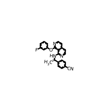 C[C@H](Nc1nccc2ccnc(Oc3cccc(F)c3)c12)c1ccc(C#N)cc1